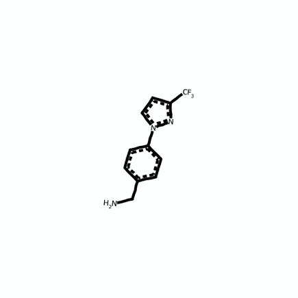 NCc1ccc(-n2ccc(C(F)(F)F)n2)cc1